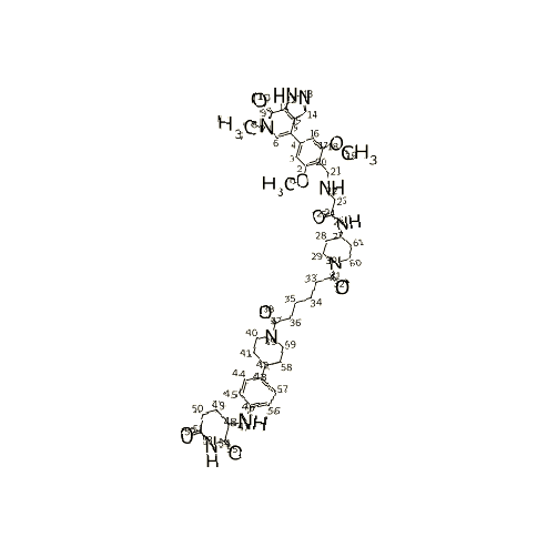 COc1cc(-c2cn(C)c(=O)c3[nH]ncc23)cc(OC)c1CNCC(=O)NC1CCN(C(=O)CCCCC(=O)N2CCC(c3ccc(NC4CCC(=O)NC4=O)cc3)CC2)CC1